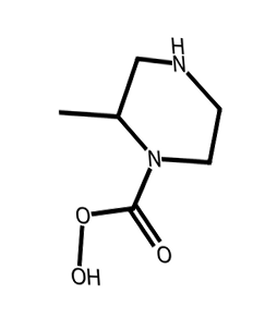 CC1CNCCN1C(=O)OO